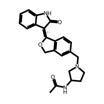 CC(=O)NC1CCN(Cc2ccc3c(c2)CO/C3=C2/C(=O)Nc3ccccc32)C1